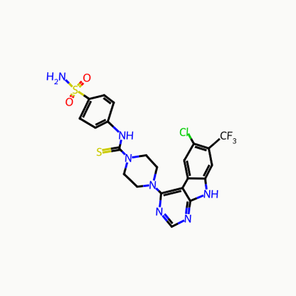 NS(=O)(=O)c1ccc(NC(=S)N2CCN(c3ncnc4[nH]c5cc(C(F)(F)F)c(Cl)cc5c34)CC2)cc1